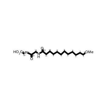 COCCCCCCCCCCCC(=O)NCC(=O)NCC(=O)O